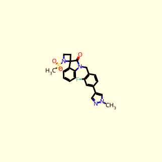 Cn1cc(-c2ccc(CN3C(=O)C4(CCN4S(C)(=O)=O)c4ccccc43)c(F)c2)cn1